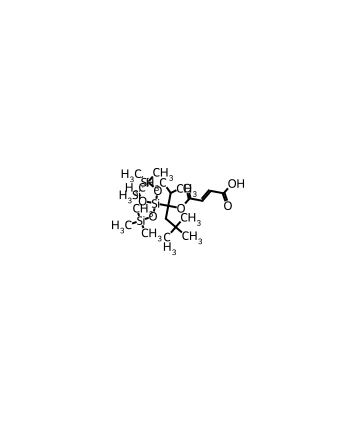 CC(C)C(CC(C)(C)C)(OC(=O)C=CC(=O)O)[Si](O[SiH3])(O[Si](C)(C)C)O[Si](C)(C)C